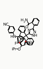 CCOc1cc(OC(C)C)c(F)c(C(Nc2ccc(C#N)cc2)c2ccccc2C(c2ccccc2)(c2ccccc2)c2nc(-c3ccccc3C(N)=O)n[nH]2)c1